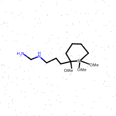 COC1(CCCNCN)CCCC[Si]1(OC)OC